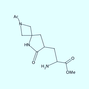 COC(=O)C(N)CC1CC2(CN(C(C)=O)C2)NC1=O